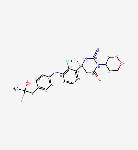 CC(O)(F)Cc1ccc(Nc2cccc([C@]3(C)CC(=O)N(C4CCOCC4)C(=N)N3)c2Cl)cc1